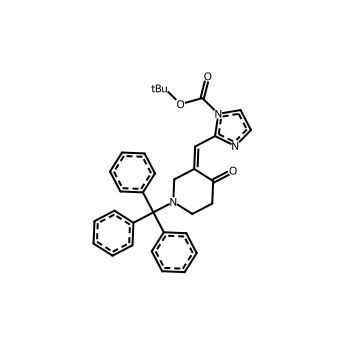 CC(C)(C)OC(=O)n1ccnc1C=C1CN(C(c2ccccc2)(c2ccccc2)c2ccccc2)CCC1=O